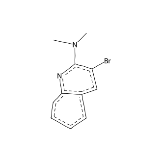 CN(C)c1nc2ccccc2cc1Br